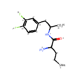 CSCCC(N)C(=O)NC(Cc1ccc(F)c(F)c1)C(=O)O